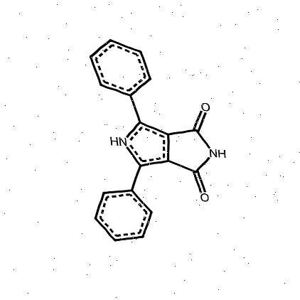 O=C1NC(=O)c2c(-c3ccccc3)[nH]c(-c3ccccc3)c21